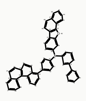 c1ccc(-c2cccc(N(c3ccc(-c4cccc5c4ccc4ccc6ccccc6c45)cc3)c3ccc4c(c3)oc3c5ccccc5ccc43)c2)cc1